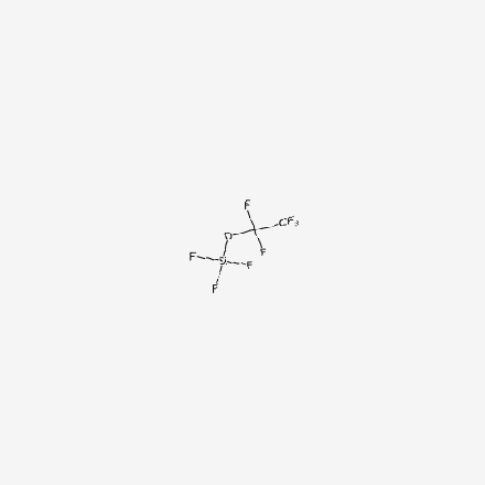 FC(F)(F)C(F)(F)O[Si](F)(F)F